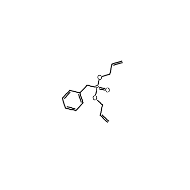 C=CCOP(=O)(Cc1ccccc1)OCC=C